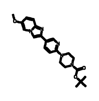 COc1ccc2nc(-c3ccc(N4CCN(C(=O)OC(C)(C)C)CC4)nc3)cn2c1